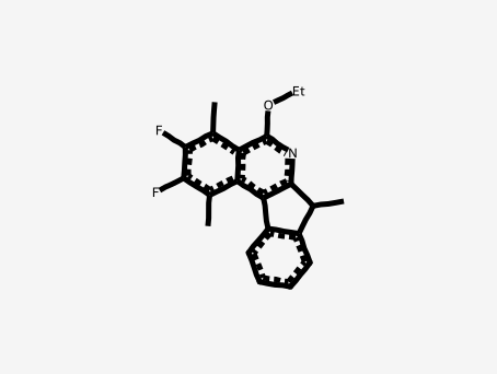 CCOc1nc2c(c3c(C)c(F)c(F)c(C)c13)-c1ccccc1C2C